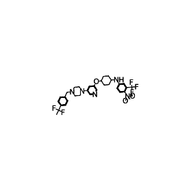 CC(F)(F)c1ccc(CN2CCN(c3cncc(OC4CCC(Nc5ccc([N+](=O)[O-])c(C(F)(F)F)c5)CC4)c3)CC2)cc1